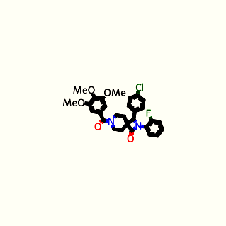 COc1cc(C(=O)N2CCC3(CC2)C(=O)N(c2ccccc2F)C3c2ccc(Cl)cc2)cc(OC)c1OC